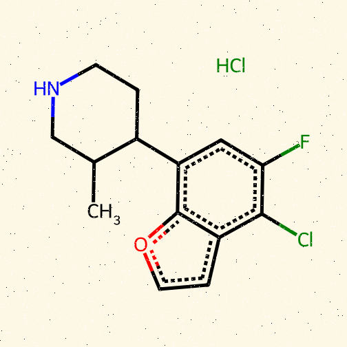 CC1CNCCC1c1cc(F)c(Cl)c2ccoc12.Cl